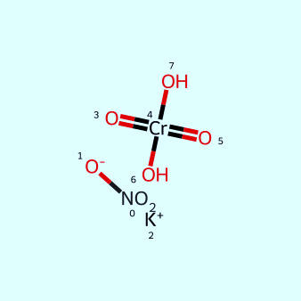 O=[N+]([O-])[O-].[K+].[O]=[Cr](=[O])([OH])[OH]